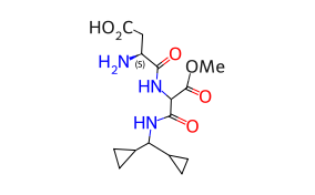 COC(=O)C(NC(=O)[C@@H](N)CC(=O)O)C(=O)NC(C1CC1)C1CC1